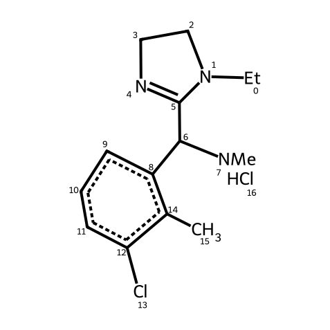 CCN1CCN=C1C(NC)c1cccc(Cl)c1C.Cl